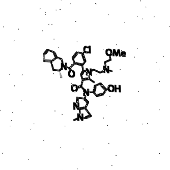 COCCN(C)CCn1c(-c2cc(Cl)ccc2C(=O)N2Cc3ccccc3C[C@H]2C)cc(C(=O)N(c2ccc(O)cc2)c2cnc3c(ccn3C)c2)c1C